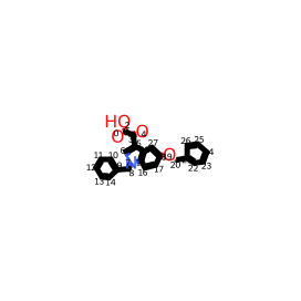 O=C(O)C(=O)c1cn(Cc2ccccc2)c2ccc(OCc3ccccc3)cc12